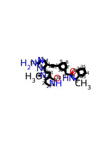 C[C@H](NC(=O)Cc1cccc(C#Cc2cnc(N)nc2-c2cc3c(n2C)CCNC3=O)c1)c1ccccc1